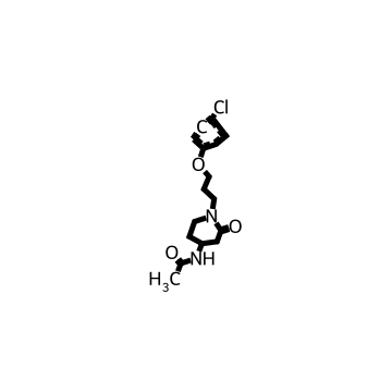 CC(=O)NC1CCN(CCCOc2ccc(Cl)cc2)C(=O)C1